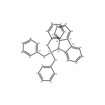 c1ccc(C[Si](Cc2ccccc2)(Cc2ccccc2)n2c3ccccc3c3ccccc32)cc1